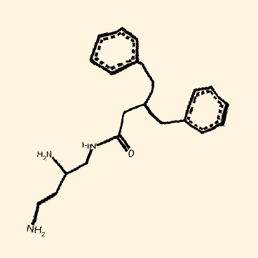 NCCC(N)CNC(=O)CC(Cc1ccccc1)Cc1ccccc1